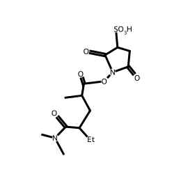 CCC(CC(C)C(=O)ON1C(=O)CC(S(=O)(=O)O)C1=O)C(=O)N(C)C